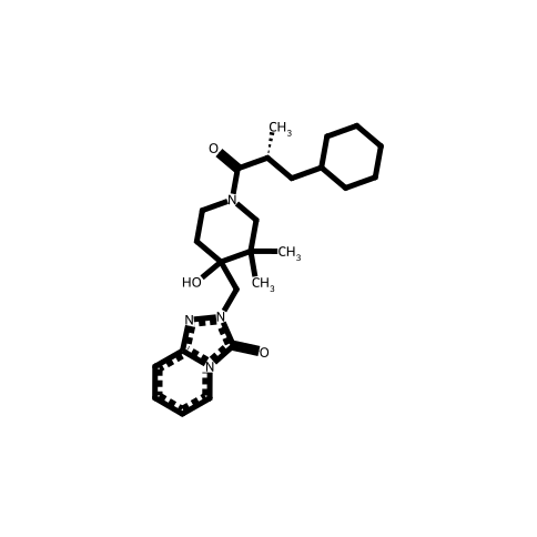 C[C@H](CC1CCCCC1)C(=O)N1CCC(O)(Cn2nc3ccccn3c2=O)C(C)(C)C1